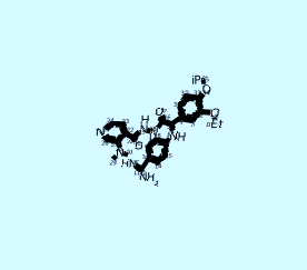 CCOc1cc(C(Nc2ccc(C(=N)N)cc2)C(=O)NNC(=O)c2ccncc2N(C)C)ccc1OC(C)C